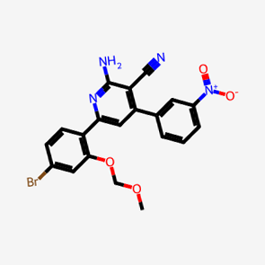 COCOc1cc(Br)ccc1-c1cc(-c2cccc([N+](=O)[O-])c2)c(C#N)c(N)n1